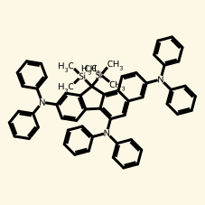 C[Si](C)(C)C1([Si](C)(C)C)c2cc(N(c3ccccc3)c3ccccc3)ccc2-c2c(N(c3ccccc3)c3ccccc3)cc3cc(N(c4ccccc4)c4ccccc4)ccc3c21